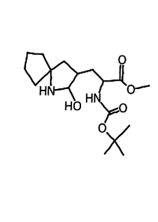 COC(=O)C(CC1CC2(CCCC2)NC1O)NC(=O)OC(C)(C)C